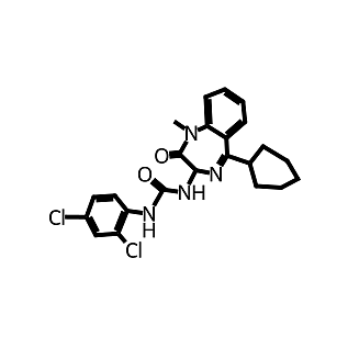 CN1C(=O)C(NC(=O)Nc2ccc(Cl)cc2Cl)N=C(C2CCCCC2)c2ccccc21